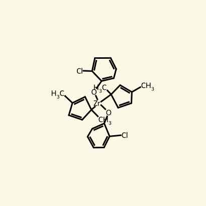 CC1=C[C](C)([Zr]([O]c2ccccc2Cl)([O]c2ccccc2Cl)[C]2(C)C=CC(C)=C2)C=C1